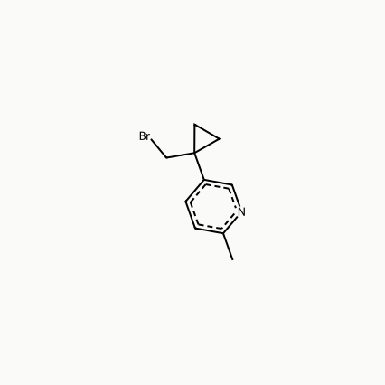 Cc1ccc(C2(CBr)CC2)cn1